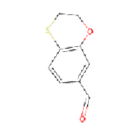 O=Cc1ccc2c(c1)OCCS2